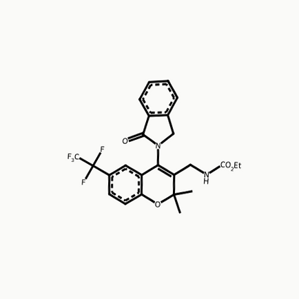 CCOC(=O)NCC1=C(N2Cc3ccccc3C2=O)c2cc(C(F)(F)C(F)(F)F)ccc2OC1(C)C